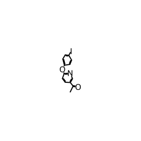 CC(=O)c1ccc(Oc2ccc(I)cc2)nc1